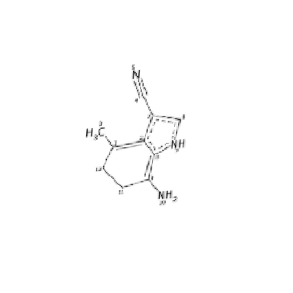 CC1=c2c(C#N)c[nH]c2=C(N)CC1